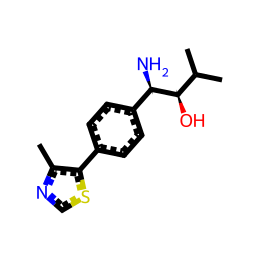 Cc1ncsc1-c1ccc([C@@H](N)[C@H](O)C(C)C)cc1